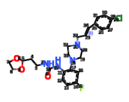 O=C(NCCC1OCCO1)Nc1ccc(F)cc1N1CCN(C/C=C/c2ccc(Cl)cc2)CC1